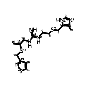 Cc1nc[nH]c1CSCCNC(=N)NCC(C)SCc1ccsn1